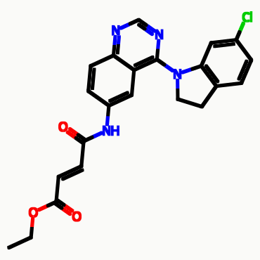 CCOC(=O)C=CC(=O)Nc1ccc2ncnc(N3CCc4ccc(Cl)cc43)c2c1